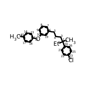 CCC(C)(CCCc1cccc(Oc2ccc(C)cc2)c1)c1ccc(Cl)cc1